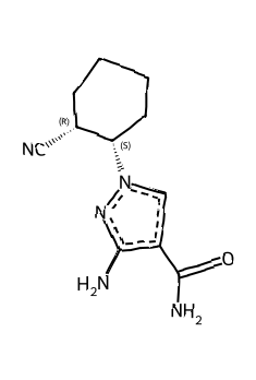 N#C[C@@H]1CCCC[C@@H]1n1cc(C(N)=O)c(N)n1